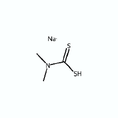 CN(C)C(=S)S.[Na]